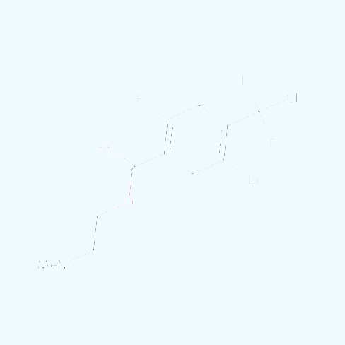 CCc1cc(C(=O)OCCNC)c(F)cc1C(F)(F)C(F)(F)F